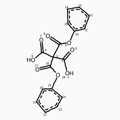 O=C(O)C(C(=O)O)(C(=O)Oc1ccccc1)C(=O)Oc1ccccc1